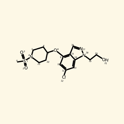 CS(=O)(=O)N1CCC(Oc2cc(Cl)cc3c2cnn3CCO)CC1